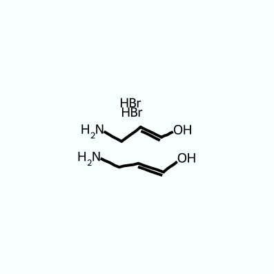 Br.Br.NCC=CO.NCC=CO